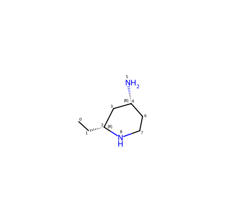 CC[C@@H]1C[C@H](N)CCN1